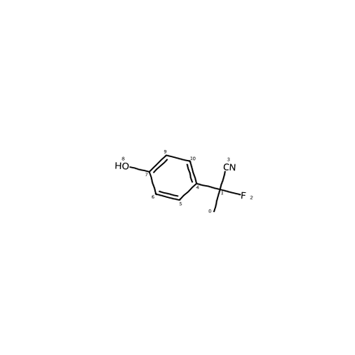 CC(F)(C#N)c1ccc(O)cc1